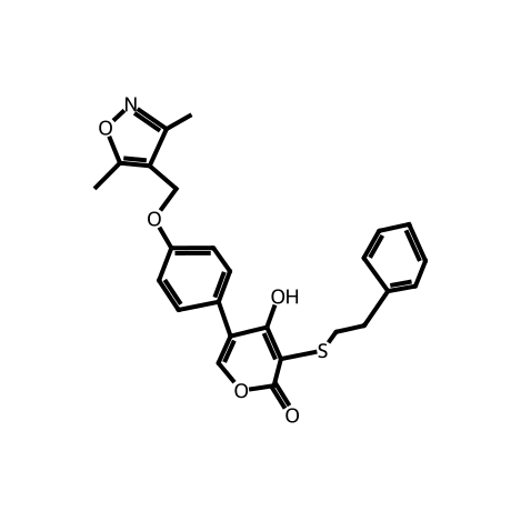 Cc1noc(C)c1COc1ccc(-c2coc(=O)c(SCCc3ccccc3)c2O)cc1